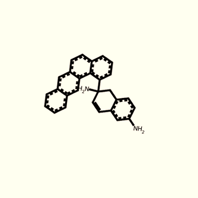 Nc1ccc2c(c1)C=CC(N)(c1cccc3ccc4cc5ccccc5cc4c13)C2